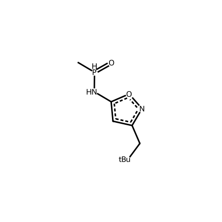 C[PH](=O)Nc1cc(CC(C)(C)C)no1